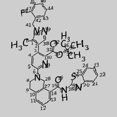 Cc1c(-c2ccc(N3CCc4cccc(C(=O)Nc5nc6ccccc6s5)c4C3)nc2C(=O)OC(C)(C)C)cnn1Cc1ccccc1F